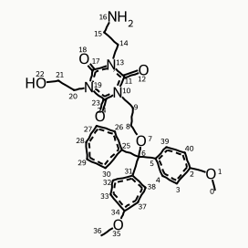 COc1ccc(C(OCCn2c(=O)n(CCN)c(=O)n(CCO)c2=O)(c2ccccc2)c2ccc(OC)cc2)cc1